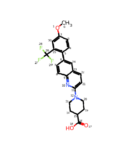 COc1ccc(-c2ccc3nc(N4CCC(C(=O)O)CC4)ccc3c2)c(C(F)(F)F)c1